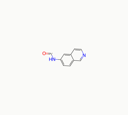 O=[C]Nc1ccc2cnccc2c1